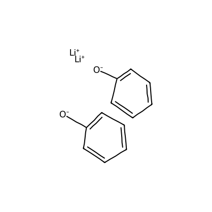 [Li+].[Li+].[O-]c1ccccc1.[O-]c1ccccc1